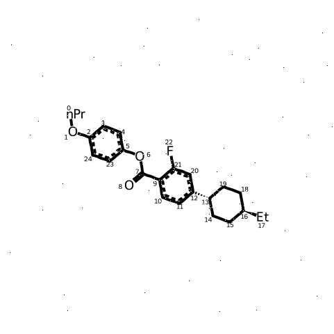 CCCOc1ccc(OC(=O)c2ccc([C@H]3CC[C@H](CC)CC3)cc2F)cc1